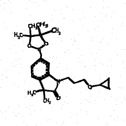 CC1(C)C(=O)N(CCCOC2CC2)c2cc(B3OC(C)(C)C(C)(C)O3)ccc21